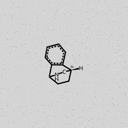 c1ccc2c(c1)C1CC[C@@H]2CN1